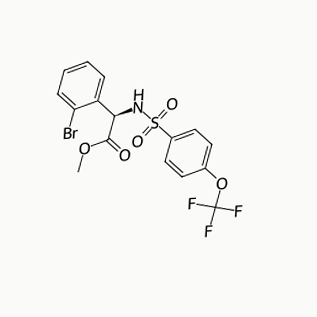 COC(=O)[C@H](NS(=O)(=O)c1ccc(OC(F)(F)F)cc1)c1ccccc1Br